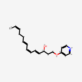 CC/C=C\CC/C=C/C=C\C=C\[C@@H](O)CCOc1ccncc1